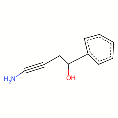 NC#CCC(O)c1ccccc1